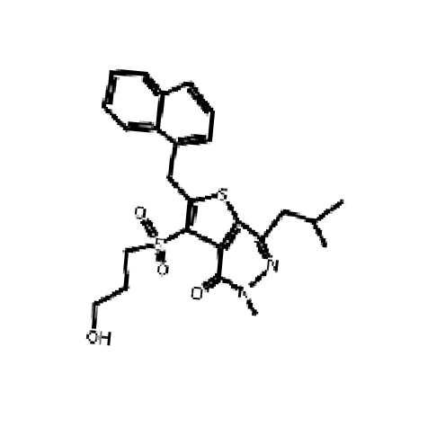 CC(C)Cc1nn(C)c(=O)c2c(S(=O)(=O)CCCO)c(Cc3cccc4ccccc34)sc12